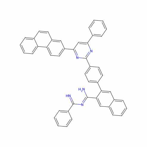 N=C(/N=C(\N)c1cc2ccccc2cc1-c1ccc(-c2nc(-c3ccccc3)cc(-c3ccc4c(ccc5ccccc54)c3)n2)cc1)c1ccccc1